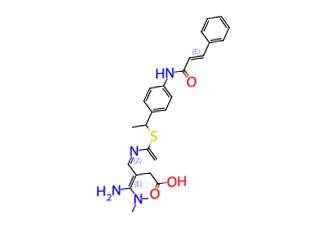 C=C(/N=C\C(CC(=O)O)=C(/N)N(C)C)SC(C)c1ccc(NC(=O)/C=C/c2ccccc2)cc1